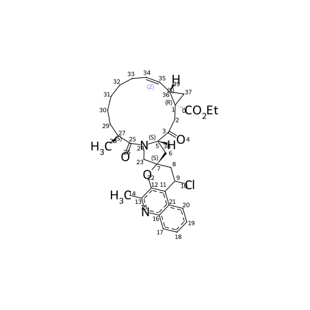 CCOC(=O)[C@]12CC(=O)[C@@H]3C[C@]4(CC(Cl)c5c(c(C)nc6ccccc56)O4)CN3C(=O)[C@@H](C)CCCCC/C=C\[C@@H]1C2